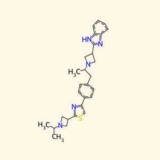 CC(C)N1CC(c2nc(-c3ccc(CC(C)N4CC(c5nc6ccccc6[nH]5)C4)cc3)cs2)C1